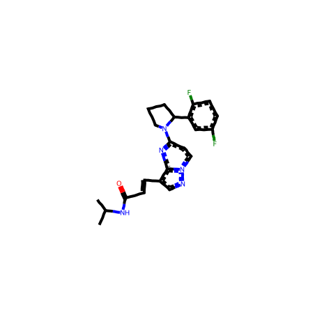 CC(C)NC(=O)C=Cc1cnn2ccc(N3CCCC3c3cc(F)ccc3F)nc12